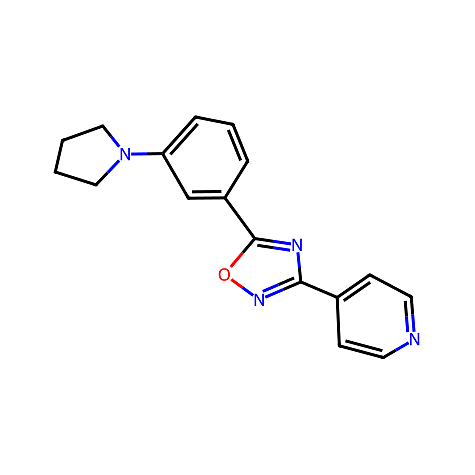 c1cc(-c2nc(-c3ccncc3)no2)cc(N2CCCC2)c1